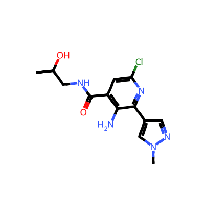 CC(O)CNC(=O)c1cc(Cl)nc(-c2cnn(C)c2)c1N